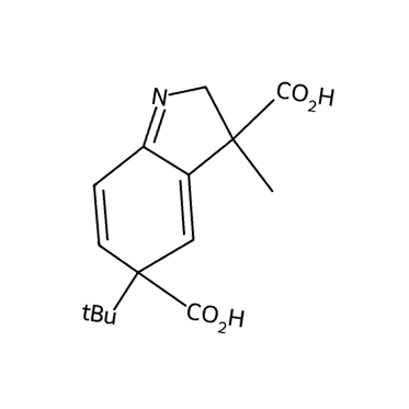 CC1(C(=O)O)CN=C2C=CC(C(=O)O)(C(C)(C)C)C=C21